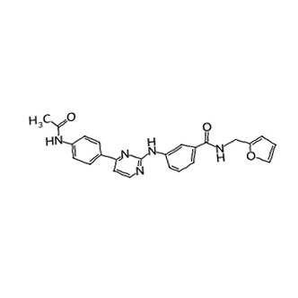 CC(=O)Nc1ccc(-c2ccnc(Nc3cccc(C(=O)NCc4ccco4)c3)n2)cc1